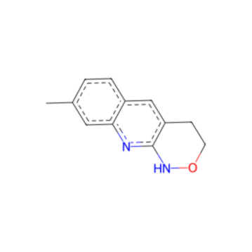 Cc1ccc2cc3c(nc2c1)NOCC3